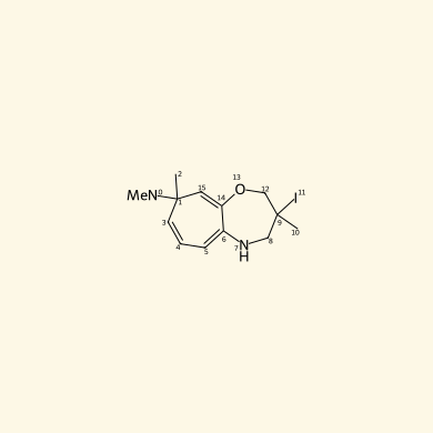 CNC1(C)C=CC=C2NCC(C)(I)COC2=C1